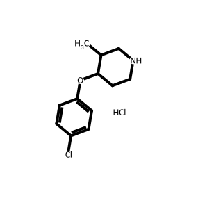 CC1CNCCC1Oc1ccc(Cl)cc1.Cl